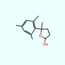 Cc1cc(C)c(C2(C)CCC(O)O2)c(C)c1